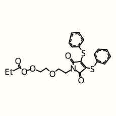 CCC(=O)OOCCOCCN1C(=O)C(Sc2ccccc2)=C(Sc2ccccc2)C1=O